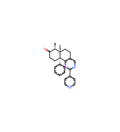 C[C@@H]1C(=O)CC[C@]2(c3ccccc3)c3nc(-c4ccncc4)ncc3CC[C@@H]12